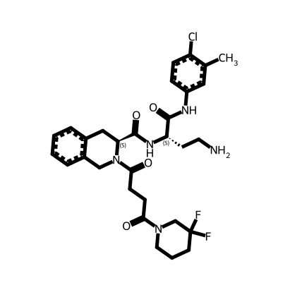 Cc1cc(NC(=O)[C@H](CCN)NC(=O)[C@@H]2Cc3ccccc3CN2C(=O)CCC(=O)N2CCCC(F)(F)C2)ccc1Cl